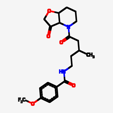 CC(CCNC(=O)c1ccc(OC(F)(F)F)cc1)CC(=O)N1CCCC2OCC(=O)C21